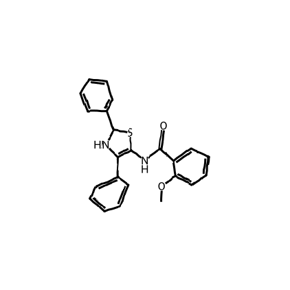 COc1ccccc1C(=O)NC1=C(c2ccccc2)NC(c2ccccc2)S1